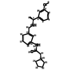 COc1cccc([C@H](C)NCc2cccc(NC(=O)CN3CCCC3)c2)c1